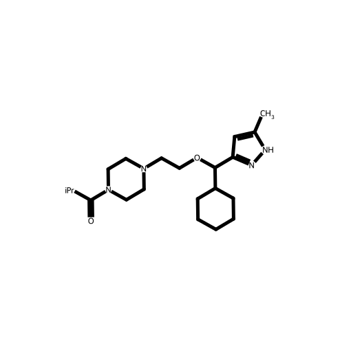 Cc1cc(C(OCCN2CCN(C(=O)C(C)C)CC2)C2CCCCC2)n[nH]1